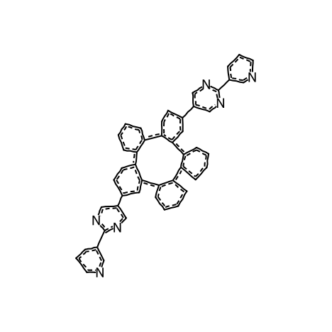 c1cncc(-c2ncc(-c3ccc4c5ccccc5c5ccc(-c6cnc(-c7cccnc7)nc6)cc5c5ccccc5c5ccccc5c4c3)cn2)c1